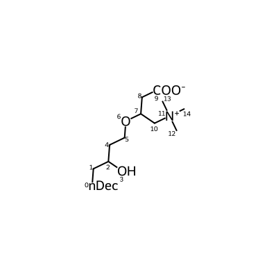 CCCCCCCCCCCC(O)CCOC(CC(=O)[O-])C[N+](C)(C)C